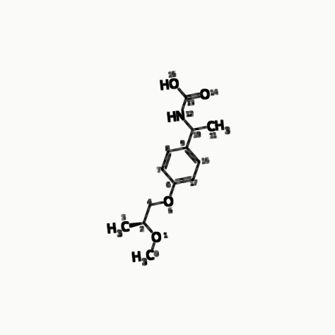 CO[C@@H](C)COc1ccc(C(C)NC(=O)O)cc1